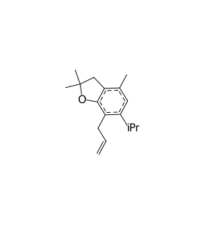 C=CCc1c(C(C)C)cc(C)c2c1OC(C)(C)C2